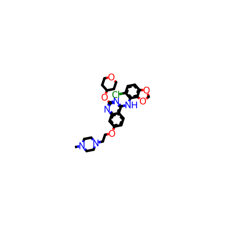 CN1CCN(CCOc2ccc3c(Nc4c(Cl)ccc5c4OCO5)nc(OC4CCOCC4)nc3c2)CC1